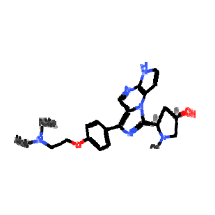 CNN(CCOc1ccc(-c2nc([C@H]3C[C@@H](O)CN3C(C)=O)n3c2cnc2[nH]ccc23)cc1)NC